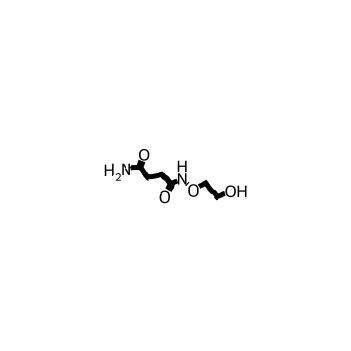 NC(=O)CCC(=O)NOCCO